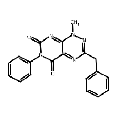 Cn1nc(Cc2ccccc2)nc2c(=O)n(-c3ccccc3)c(=O)nc1-2